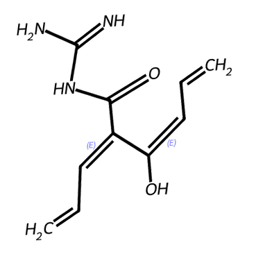 C=C/C=C(O)\C(=C/C=C)C(=O)NC(=N)N